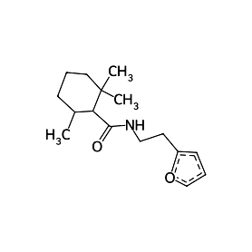 CC1CCCC(C)(C)C1C(=O)NCCc1ccco1